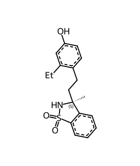 CCc1cc(O)ccc1CC[C@]1(C)NS(=O)(=O)c2ccccc21